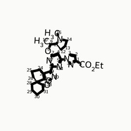 CCOC(=O)c1ccn(-c2cc(O[C@@H](C)[C@@H]3CCCN3C)nc(-c3noc4c3CCC[C@@]43CCCCC3=O)n2)n1